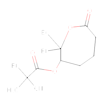 CCC(C)(C)C(=O)OC1CCCC(=O)OC1(CC)CC